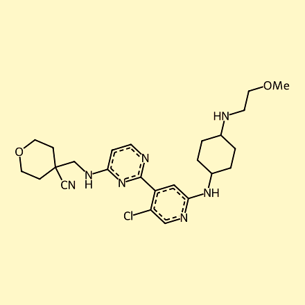 COCCNC1CCC(Nc2cc(-c3nccc(NCC4(C#N)CCOCC4)n3)c(Cl)cn2)CC1